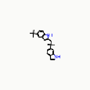 CC(C)(C)c1ccc2[nH]c(CC(C)(C)c3ccc4cc[nH]c4c3)cc2c1